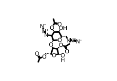 CC(=O)OC[C@H]1O[C@@H](O)[C@H](OC(C)=O)[C@@H]1O[C@H]1O[C@@H](CN=[N+]=[N-])[C@@H](O)[C@H](OC(C)=O)C1N=[N+]=[N-]